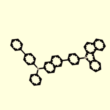 c1ccc(-c2ccc(N(c3ccccc3)c3ccc4cc(-c5ccc(-n6c7ccccc7c7c8ccccc8ccc76)cc5)ccc4c3)cc2)cc1